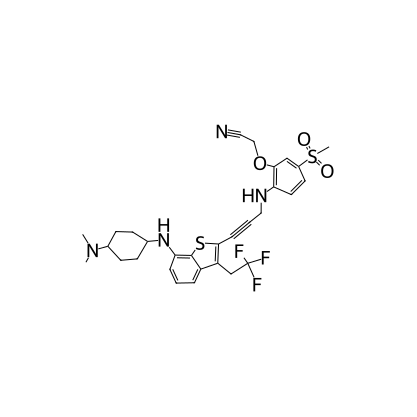 CN(C)C1CCC(Nc2cccc3c(CC(F)(F)F)c(C#CCNc4ccc(S(C)(=O)=O)cc4OCC#N)sc23)CC1